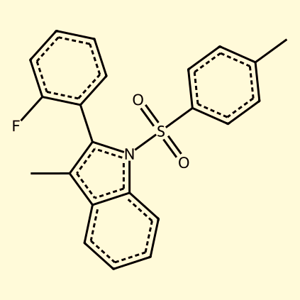 Cc1ccc(S(=O)(=O)n2c(-c3ccccc3F)c(C)c3ccccc32)cc1